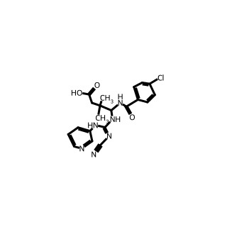 CC(C)(CC(=O)O)C(NC(=O)c1ccc(Cl)cc1)N/C(=N/C#N)Nc1cccnc1